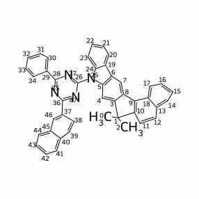 CC1(C)c2cc3c(cc2-c2c1ccc1ccccc21)c1ccccc1n3-c1nc(-c2ccccc2)nc(-c2ccc3ccccc3c2)n1